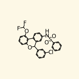 O=S(=O)(Nc1ccc2c(c1)C(c1cccc(Cl)c1)Oc1cccc(OC(F)F)c1-2)c1ccccc1